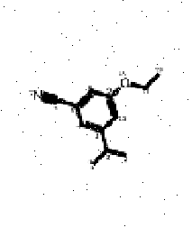 [CH2]C(C)c1cc(C#N)cc(OCC)c1